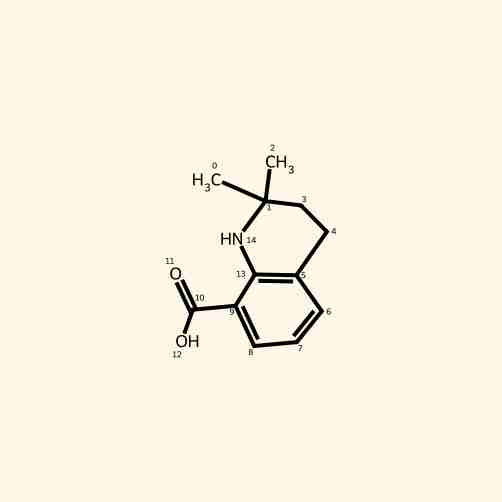 CC1(C)CCc2cccc(C(=O)O)c2N1